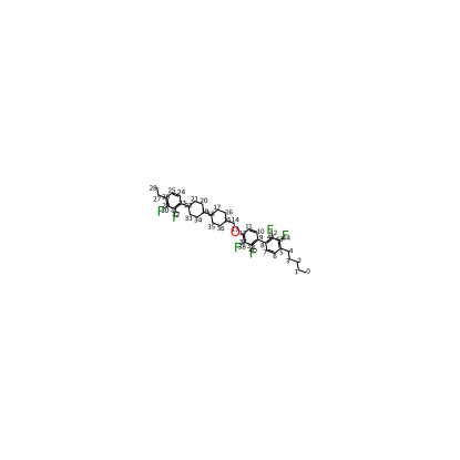 CCCCCc1ccc(-c2ccc(OCC3CCC(C4CCC(c5ccc(CC)c(F)c5F)CC4)CC3)c(F)c2F)c(F)c1F